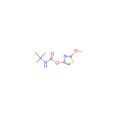 COc1nc(OC(=O)NC(C)(C)C)cs1